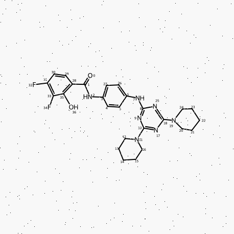 O=C(Nc1ccc(Nc2nc(N3CCCCC3)nc(N3CCCCC3)n2)cc1)c1ccc(F)c(F)c1O